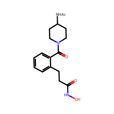 CC(=O)NC1CCN(C(=O)c2ccccc2CCC(=O)NO)CC1